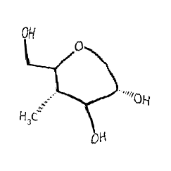 C[C@@H]1C(CO)OC[C@H](O)C1O